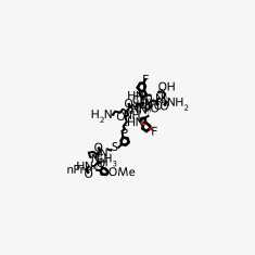 CCCC(=O)N[C@@H](Cc1ccc(OC)cc1)C(=O)N1CCC[C@@]1(C)C(=O)NCCSCc1cccc(CSCCC(=O)N[C@@H](CCCCN)C(=O)N[C@H](C)C(=O)N[C@@H](Cc2c[nH]c3ccc(F)cc23)C(=O)N[C@@H](Cc2c[nH]c3ccc(F)cc23)C(=O)N2C[C@@H](O)C[C@H]2C(N)=O)c1